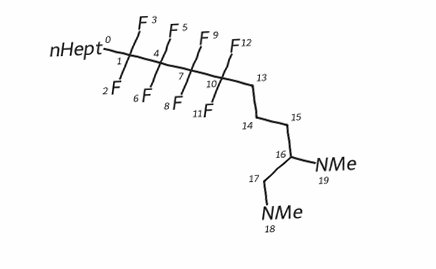 CCCCCCCC(F)(F)C(F)(F)C(F)(F)C(F)(F)CCCC(CNC)NC